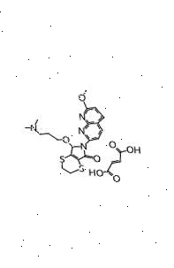 COc1ccc2ccc(N3C(=O)C4=C(SCCS4)C3OCCCN(C)C)nc2n1.O=C(O)/C=C/C(=O)O